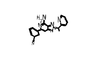 CC(c1ccccn1)n1nc2cc(-c3cccc(C#N)c3)nc(N)c2n1